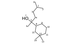 CC(C)CCC(C)(O)C1CCCC(C)(C)C1